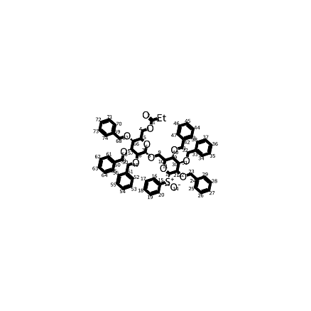 CCC(=O)OCC1O[C@@H](OCC2O[C@@H]([S+]([O-])c3ccccc3)C(OCc3ccccc3)[C@H](OCc3ccccc3)[C@H]2OCc2ccccc2)C(OCc2ccccc2)[C@H](OCc2ccccc2)[C@H]1OCc1ccccc1